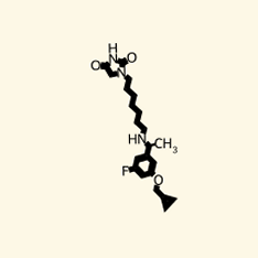 C[C@H](NCCCCCCCN1CC(=O)NC1=O)c1cc(F)cc(OCC2CC2)c1